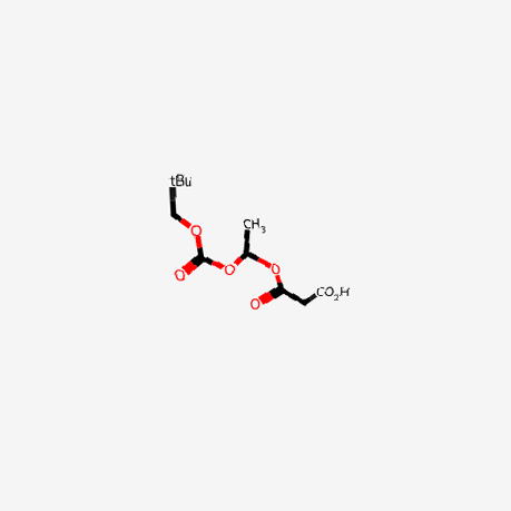 CC(OC(=O)CC(=O)O)OC(=O)OCC(C)(C)C